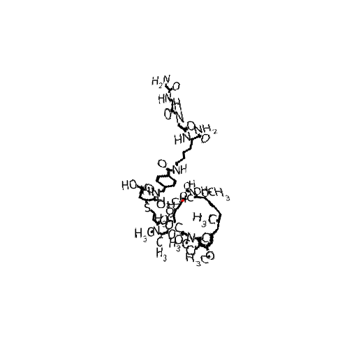 COc1cc2cc(c1Cl)N(C)C(=O)C[C@H](OC(=O)[C@H](C)N(C)C(=O)CCSC(CC(=O)O)C(=O)NCC1CCC(C(=O)NCCCCC(NC(=O)CNC(=O)CNC(=O)CN)C(N)=O)CC1)[C@]1(C)O[C@H]1[C@H](C)[C@@H]1C[C@@](O)(NC(=O)O1)[C@H](OC)/C=C/C=C(\C)C2